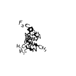 COc1ncnc(O)c1-n1c(NS(=O)(=O)[C@@H](C)[C@H](C)c2cnc(C)cn2)nnc1-c1c#ccc(C(F)(F)F)c1